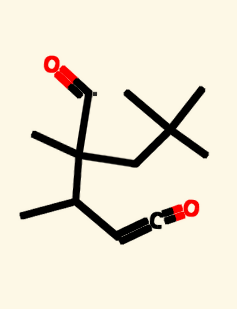 CC(C=C=O)C(C)([C]=O)CC(C)(C)C